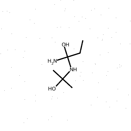 CCC(N)(O)NC(C)(C)O